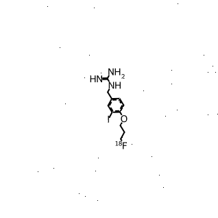 N=C(N)NCc1ccc(OCCC[18F])c(I)c1